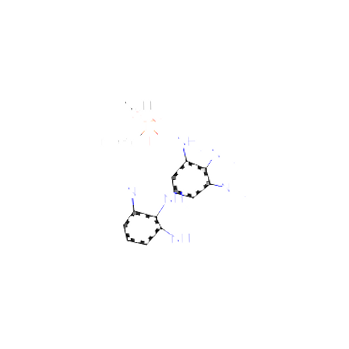 CCCCCP(=O)(O)O.Nc1cccc(N)c1N.Nc1cccc(N)c1N.[NaH]